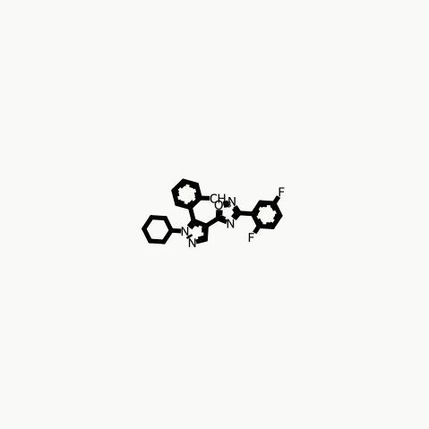 Cc1ccccc1-c1c(-c2nc(-c3cc(F)ccc3F)no2)cnn1C1CCCCC1